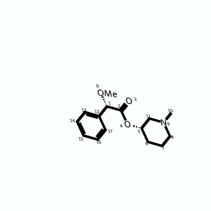 CO[C@H](C(=O)O[C@H]1CCCN(C)C1)c1ccccc1